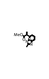 C=C(C(=O)OC)c1cccc2nc(C)nn12